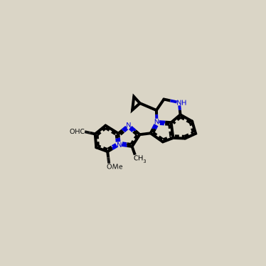 COc1cc(C=O)cc2nc(-c3cc4cccc5c4n3C(C3CC3)CN5)c(C)n12